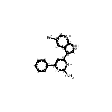 Nc1nc(-c2ccccc2)cc(-c2c[nH]c3ncc(Br)cc23)n1